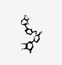 Cc1nc(-c2cccc(Cn3nc(-c4cc(F)c(F)c(F)c4)ccc3=O)c2)ncc1N